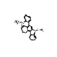 CNc1ccccc1-c1cc2c(c3c1CCCC3)c1ccccc1n2C